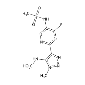 Cn1nnc(-c2cc(F)c(NS(C)(=O)=O)cn2)c1NC(=O)O